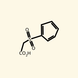 O=C(O)CS(=O)(=O)c1ccccc1